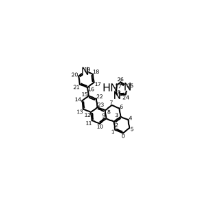 C1=CC2=C(CC1)CCc1c2ccc2ccc(-c3ccncc3)cc12.c1nc[nH]n1